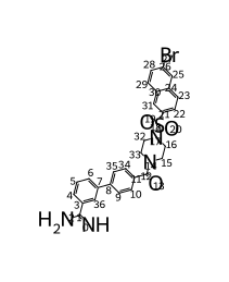 N=C(N)c1cccc(-c2ccc(C(=O)N3CCN(S(=O)(=O)c4ccc5cc(Br)ccc5c4)CC3)cc2)c1